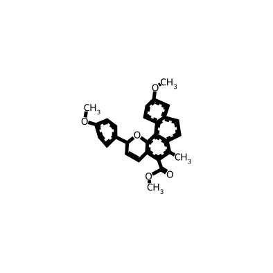 COC(=O)c1c2c(c3c(ccc4cc(OC)ccc43)c1C)OC(c1ccc(OC)cc1)C=C2